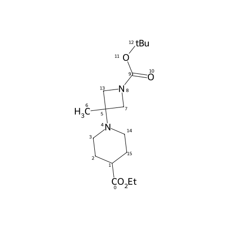 CCOC(=O)C1CCN(C2(C)CN(C(=O)OC(C)(C)C)C2)CC1